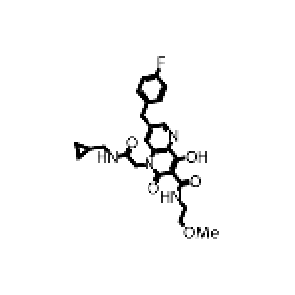 COCCNC(=O)c1c(O)c2ncc(Cc3ccc(F)cc3)cc2n(CC(=O)NCC2CC2)c1=O